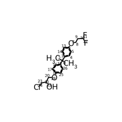 CC(C)(c1ccc(OCCC(F)F)cc1)c1ccc(OCC(O)CCl)cc1